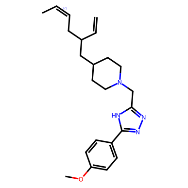 C=CC(C/C=C\C)CC1CCN(Cc2nnc(-c3ccc(OC)cc3)[nH]2)CC1